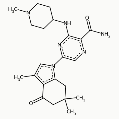 Cc1cn(-c2cnc(C(N)=O)c(NC3CCN(C)CC3)n2)c2c1C(=O)CC(C)(C)C2